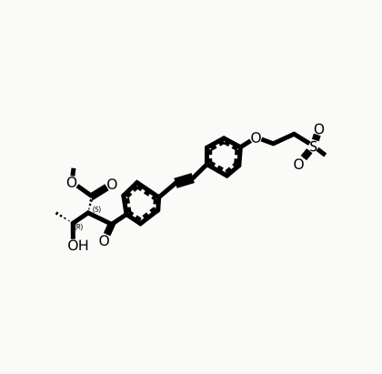 COC(=O)[C@H](C(=O)c1ccc(C#Cc2ccc(OCCS(C)(=O)=O)cc2)cc1)[C@@H](C)O